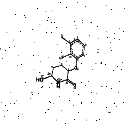 Cc1cccc(OC2CCC(O)NC2=O)c1F